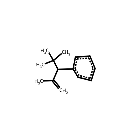 C=C(C)C(c1ccccc1)C(C)(C)C